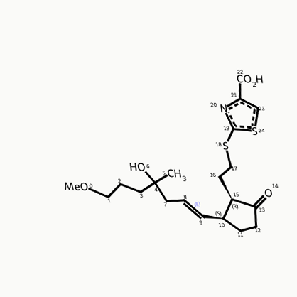 COCCCC(C)(O)C/C=C/[C@@H]1CCC(=O)[C@@H]1CCSc1nc(C(=O)O)cs1